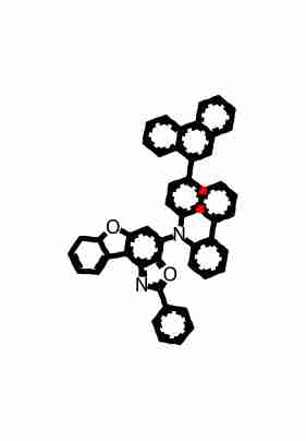 C1=CCC2Oc3cc(N(c4ccc(-c5cc6ccccc6c6ccccc56)cc4)c4ccccc4-c4ccccc4)c4oc(-c5ccccc5)nc4c3C2=C1